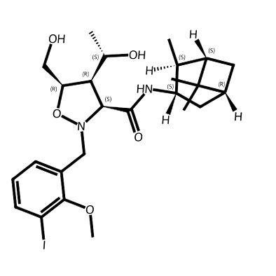 COc1c(I)cccc1CN1O[C@@H](CO)[C@@H]([C@H](C)O)[C@H]1C(=O)N[C@H]1C[C@H]2C[C@@H]([C@@H]1C)C2(C)C